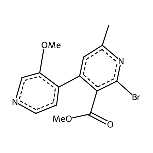 COC(=O)c1c(-c2ccncc2OC)cc(C)nc1Br